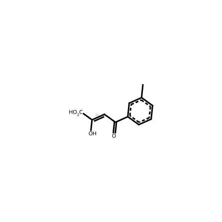 Cc1cccc(C(=O)/C=C(\O)C(=O)O)c1